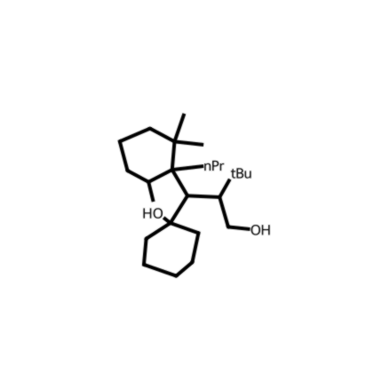 CCCC1(C(C(CO)C(C)(C)C)C2(O)CCCCC2)C(C)CCCC1(C)C